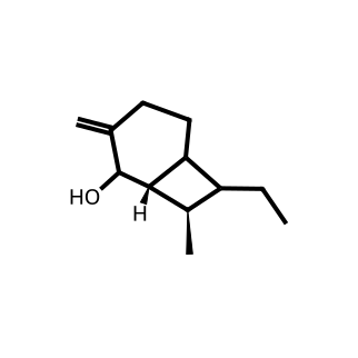 C=C1CCC2C(CC)[C@@H](C)[C@@H]2C1O